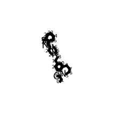 CCC(=O)N1CCCCc2cc(CCN3CCN(c4nsc5ccccc45)CC3)ccc21